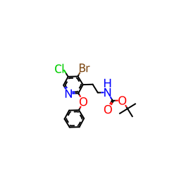 CC(C)(C)OC(=O)NCCc1c(Oc2ccccc2)ncc(Cl)c1Br